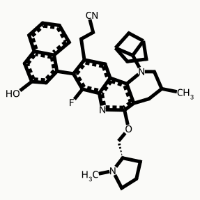 CC1Cc2c(OC[C@@H]3CCCN3C)nc3c(F)c(-c4cc(O)cc5ccccc45)c(CCC#N)cc3c2N(C2C3CCC2C3)C1